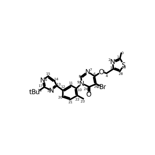 Cc1nc(COc2ncn(-c3cc(-c4ccnc(C(C)(C)C)n4)ccc3C)c(=O)c2Br)cs1